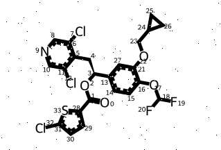 O=C(O[C@@H](Cc1c(Cl)cncc1Cl)c1ccc(OC(F)F)c(OCC2CC2)c1)c1ccc(Cl)s1